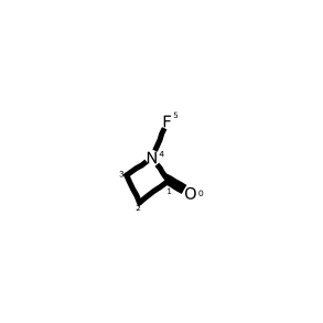 O=C1CCN1F